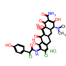 CN(C)[C@@H]1C(O)=C(C(N)=O)C(=O)[C@@]2(O)C(O)=C3C(=O)c4c(cc(Cl)c(NC(=O)C(Cl)c5ccc(O)cc5)c4O)CC3CC12.Cl